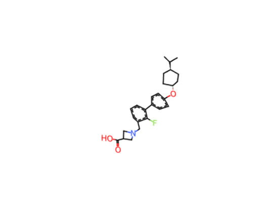 CC(C)[C@H]1CC[C@H](Oc2ccc(-c3cccc(CN4CC(C(=O)O)C4)c3F)cc2)CC1